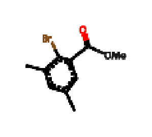 COC(=O)c1cc(C)cc(C)c1Br